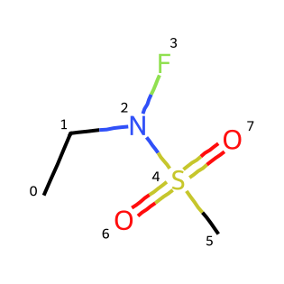 CCN(F)S(C)(=O)=O